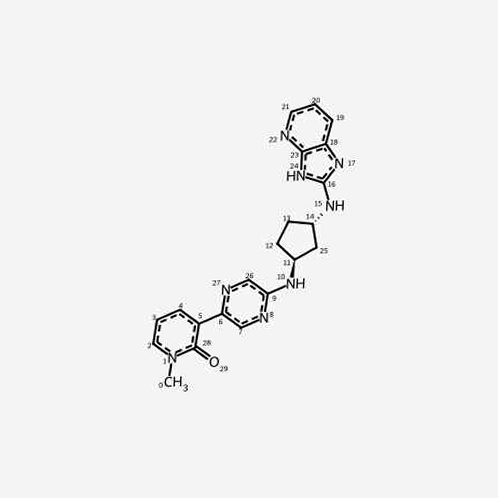 Cn1cccc(-c2cnc(N[C@H]3CC[C@H](Nc4nc5cccnc5[nH]4)C3)cn2)c1=O